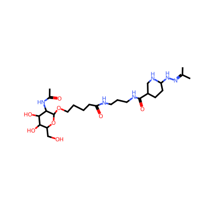 CC(=O)NC1C(OCCCCC(=O)NCCCNC(=O)C2CCC(NN=C(C)C)NC2)OC(CO)C(O)C1O